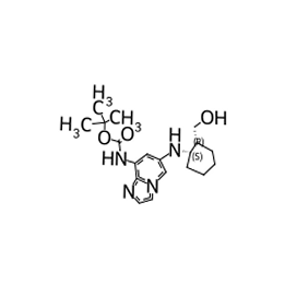 CC(C)(C)OC(=O)Nc1cc(N[C@H]2CCCC[C@H]2CO)cn2ccnc12